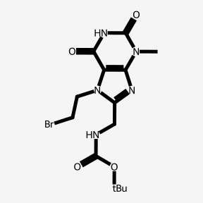 Cn1c(=O)[nH]c(=O)c2c1nc(CNC(=O)OC(C)(C)C)n2CCBr